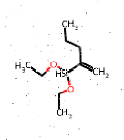 C=C(CCC)[SiH](OCC)OCC